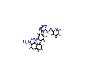 Nc1ccc2ccccc2c1Nc1cccc(-n2nnnc2CCc2ccccn2)c1